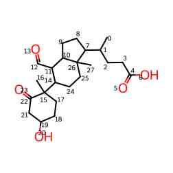 CC(CCC(=O)O)C1CCC2C(C=O)C(C3(C)CCC(O)CC3=O)CCC12C